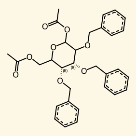 CC(=O)OCC1OC(OC(C)=O)C(OCc2ccccc2)[C@H](OCc2ccccc2)[C@@H]1OCc1ccccc1